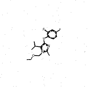 CCOCn1c(C)nc(Sc2ccc(F)cc2F)c1C(C)C